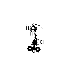 CC(C)(C)OC(=O)CNCCC[N+]12CCC(CC1)[C@@H](OC(=O)C(O)(c1ccccc1)c1ccccc1)C2.[Cl-]